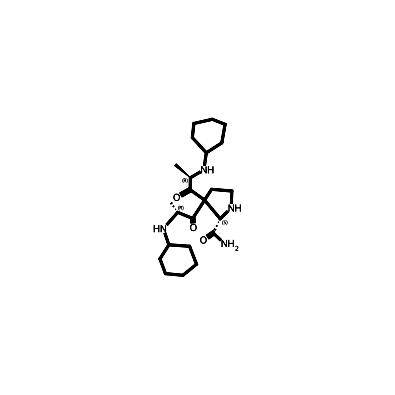 C[C@@H](NC1CCCCC1)C(=O)C1(C(=O)[C@@H](C)NC2CCCCC2)CCN[C@@H]1C(N)=O